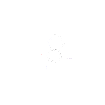 Cl.Nc1cc(I)c2cccnc2c1O